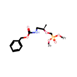 CC(C)OP(=O)(CO[C@H](C)CNC(=O)OCc1ccccc1)OC(C)C